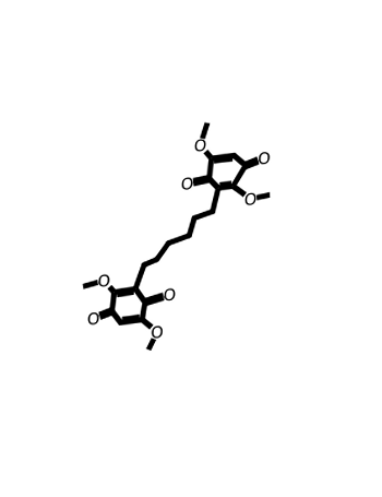 COC1=CC(=O)C(OC)=C(CCCCCCC2=C(OC)C(=O)C=C(OC)C2=O)C1=O